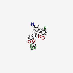 COc1cccc(C=Cc2oc(=O)c3ccc(F)cc3c2-c2ccc(C#N)cc2)c1OCCC(F)(F)F